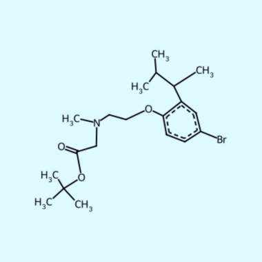 CC(C)C(C)c1cc(Br)ccc1OCCN(C)CC(=O)OC(C)(C)C